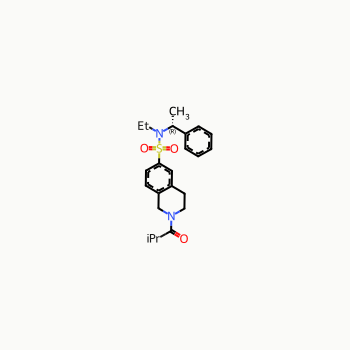 CCN([C@H](C)c1ccccc1)S(=O)(=O)c1ccc2c(c1)CCN(C(=O)C(C)C)C2